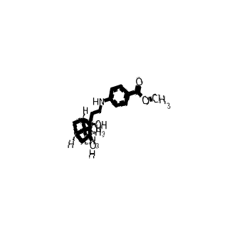 COC(=O)c1ccc(NCC[C@@]2(O)[C@@H]3C[C@H](C[C@@H]2O)C3(C)C)cc1